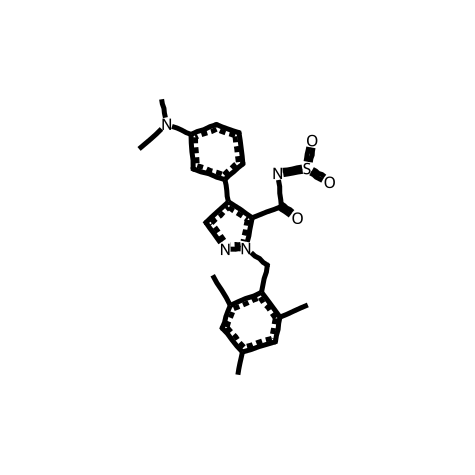 Cc1cc(C)c(Cn2ncc(-c3cccc(N(C)C)c3)c2C(=O)N=S(=O)=O)c(C)c1